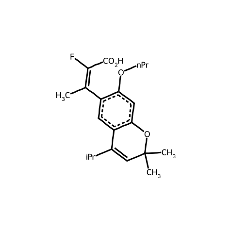 CCCOc1cc2c(cc1/C(C)=C(/F)C(=O)O)C(C(C)C)=CC(C)(C)O2